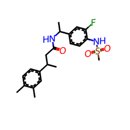 Cc1ccc(C(C)CC(=O)NC(C)c2ccc(NS(C)(=O)=O)c(F)c2)cc1C